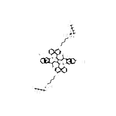 COc1ccc2sc(/C(C#N)=c3/c4c(-c5ccc(OCCCCC(=O)NS(=O)(=O)C(F)(F)C(F)(F)C(F)(F)C(F)(F)F)cc5)n(B(c5ccccc5)c5ccccc5)/c(=C(/C#N)c5nc6cc(OC)ccc6s5)c4c(-c4ccc(OCCCCC(=O)NSC(F)(F)C(F)(F)C(F)(F)C(F)(F)F)cc4)n3B(c3ccccc3)c3ccccc3)nc2c1